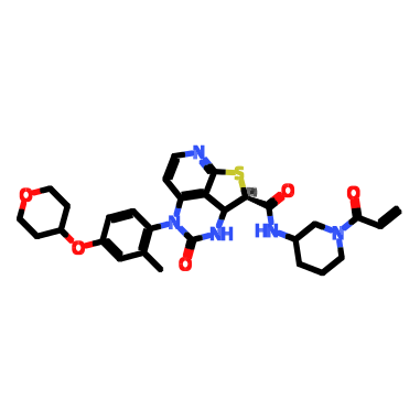 C=CC(=O)N1CCCC(NC(=O)[C@@H]2Sc3nccc4c3C2NC(=O)N4c2ccc(OC3CCOCC3)cc2C)C1